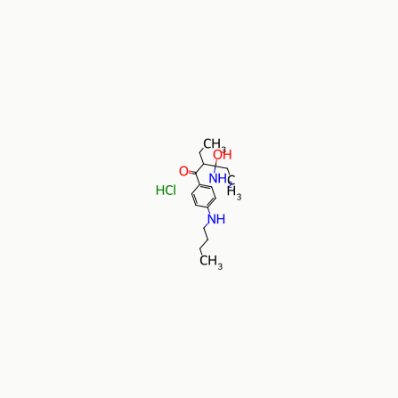 CCCCNc1ccc(C(=O)C(CC)C(N)(O)CC)cc1.Cl